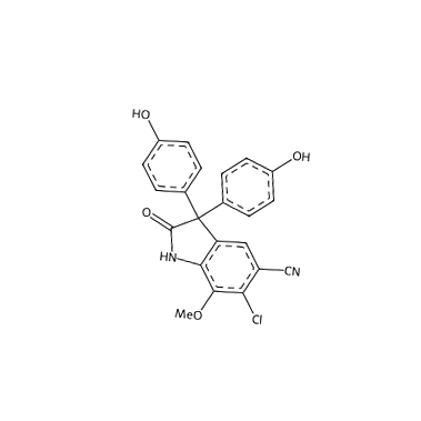 COc1c(Cl)c(C#N)cc2c1NC(=O)C2(c1ccc(O)cc1)c1ccc(O)cc1